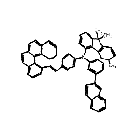 CC1C=CC2=C(C1)c1c(N(c3ccc(C=Cc4cccc5ccc6ccc7c(c6c45)CCC=C7)cc3)c3cccc(-c4ccc5ccccc5c4)c3)cccc1C2(C)C